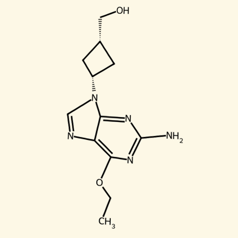 CCOc1nc(N)nc2c1ncn2[C@H]1C[C@@H](CO)C1